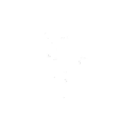 CN1CCC(OC(=O)Nc2cc(CCCC(=O)Nc3ccc(CO)c(C(F)(F)F)c3)ccc2-c2ccccc2)CC1